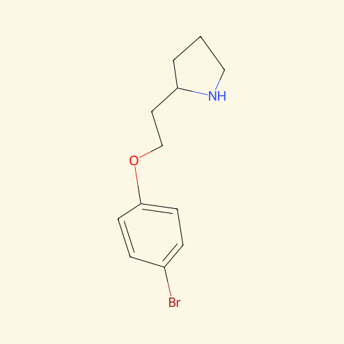 Brc1ccc(OCCC2CCCN2)cc1